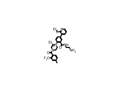 CCOc1ncccc1-c1ccc(N2CCN(C(=O)c3ccc(C)cc3C(F)(F)F)C[C@H]2CC)c(C(=O)NCCN)c1